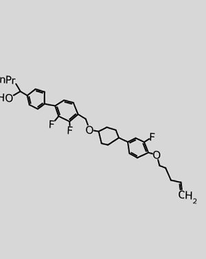 C=CCCCOc1ccc(C2CCC(OCc3ccc(-c4ccc(C(O)CCC)cc4)c(F)c3F)CC2)cc1F